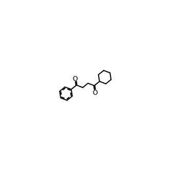 O=C(CCC(=O)C1CCCCC1)c1ccccc1